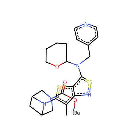 Cc1c(N2C3CC2CN(C(=O)OC(C)(C)C)C3)sc2c(N(Cc3ccncc3)C3CCCCO3)snc12